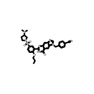 CCCOc1ccc(S(=O)(=O)N2CCC(N(C)C)C2)cc1-c1nc2cc3ncn(Cc4ccc(C#N)cc4)c3cc2c(=O)[nH]1